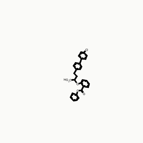 O=C(Oc1ccccc1)c1ccccc1OC(CCc1ccc(-c2ccc(Cl)cc2)cc1)C(=O)O